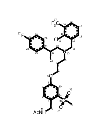 CC(=O)NCc1ccc(OCCCN(Cc2cccc(C(F)(F)F)c2Cl)CC(C)c2ccc(F)cc2)cc1S(C)(=O)=O